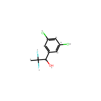 CC(F)(F)C(O)c1cc(Cl)cc(Cl)c1